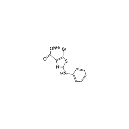 COC(=O)c1nc(Nc2ccccc2)sc1Br